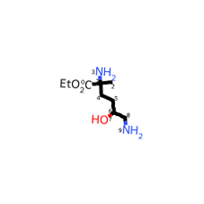 CCOC(=O)C(C)(N)CCC(O)CN